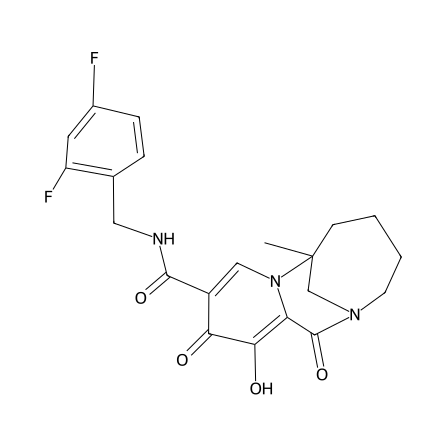 CC12CCCCN(C1)C(=O)c1c(O)c(=O)c(C(=O)NCc3ccc(F)cc3F)cn12